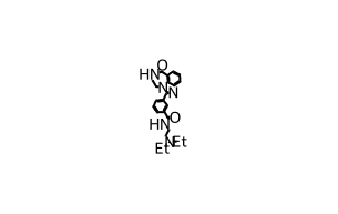 CCN(CC)CCNC(=O)c1cccc(-c2nc3cccc4c3n2CCNC4=O)c1